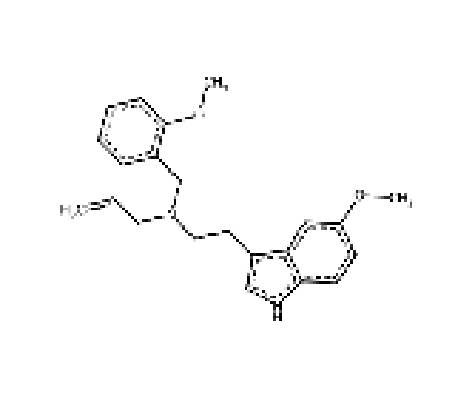 C=CCN(CCc1c[nH]c2ccc(OC)cc12)Cc1ccccc1OC